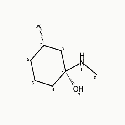 CN[C@@]1(O)CCC[C@H](C)C1